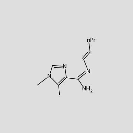 CCC/C=C/N=C(/N)c1ncn(C)c1C